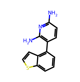 Nc1ccc(-c2cccc3sccc23)c(N)n1